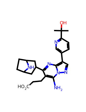 CC(C)(O)c1ccc(-c2cnn3c(N)c(CCC(=O)O)c(C4CC5CCC(C4)N5)nc23)cn1